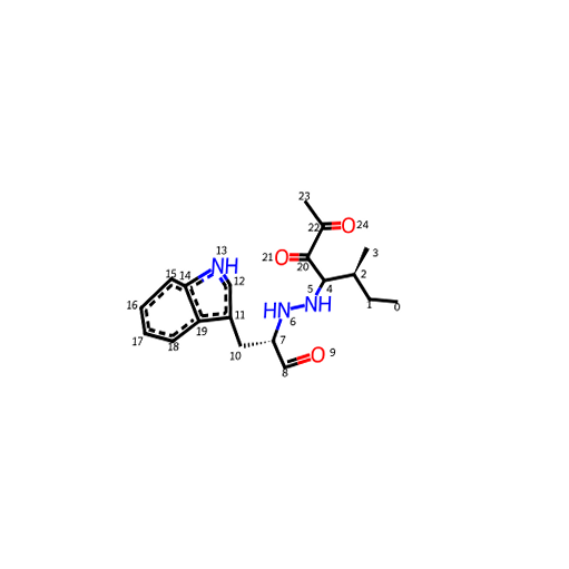 CC[C@H](C)C(NN[C@H](C=O)Cc1c[nH]c2ccccc12)C(=O)C(C)=O